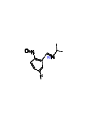 CC(C)/N=C/c1cc(F)ccc1N=O